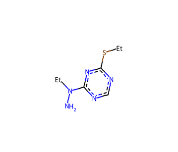 CCSc1ncnc(N(N)CC)n1